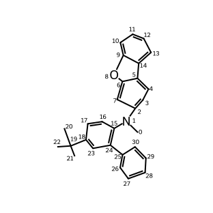 CN(c1ccc2c(c1)oc1ccccc12)c1ccc(C(C)(C)C)cc1-c1ccccc1